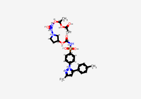 Cc1ccc(-c2cc(C(F)(F)F)nn2-c2ccc(S(=O)(=O)NC(=O)OC3CCN(n4on4OC(C)OC(=O)C(C)C)C3)cc2)cc1